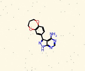 Nc1ncnc2[nH]nc(-c3ccc4c(c3)OCCCO4)c12